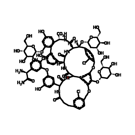 NC(=O)[C@@H](N)c1ccc(O)c(Oc2cc(O)cc(C3NC(=O)CCc4ccc(c(Cl)c4)Oc4cc5cc(c4O[C@H]4C[C@@H](O)[C@H](O)[C@@H](CO)O4)Oc4ccc(cc4Cl)[C@@H](O[C@H]4C[C@@H](O)[C@H](O)[C@@H](CO)O4)[C@@H]4NC(=O)[C@H](NC(=O)[C@@H]5NC3=O)c3ccc(O)c(c3)-c3c(O[C@H]5O[C@H](CO)[C@@H](O)[C@H](O)[C@@H]5O)cc(O)cc3[C@H](C(=O)O)NC4=O)c2)c1